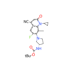 Cc1c(N2CC[C@H](NC(=O)OC(C)(C)C)C2)c(F)cc2c(C#N)cc(=O)n(C3CC3)c12